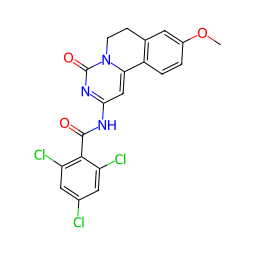 COc1ccc2c(c1)CCn1c-2cc(NC(=O)c2c(Cl)cc(Cl)cc2Cl)nc1=O